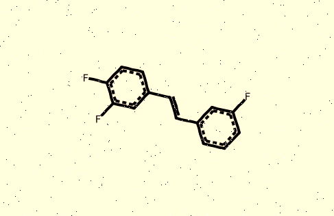 Fc1cccc(/C=C/c2ccc(F)c(F)c2)c1